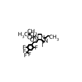 CCc1nc(I)c2n1CCN(C(=O)OC(C)(C)C)C2CCc1cc(F)c(C(F)(F)F)cc1F